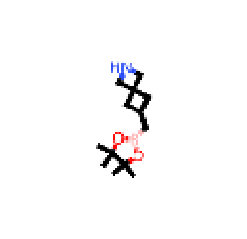 CC1(C)OB(CC2CC3(CNC3)C2)OC1(C)C